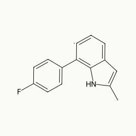 Cc1cc2cc[c]c(-c3ccc(F)cc3)c2[nH]1